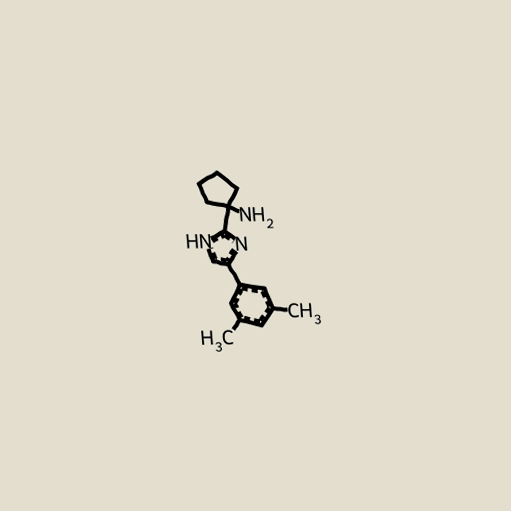 Cc1cc(C)cc(-c2c[nH]c(C3(N)CCCC3)n2)c1